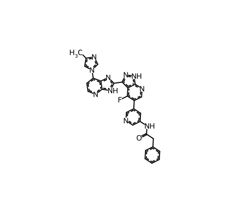 Cc1cn(-c2ccnc3[nH]c(-c4n[nH]c5ncc(-c6cncc(NC(=O)Cc7ccccc7)c6)c(F)c45)nc23)cn1